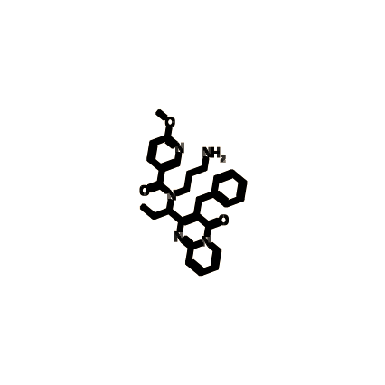 CCC(c1nc2ccccn2c(=O)c1Cc1ccccc1)N(CCCN)C(=O)c1ccc(OC)nc1